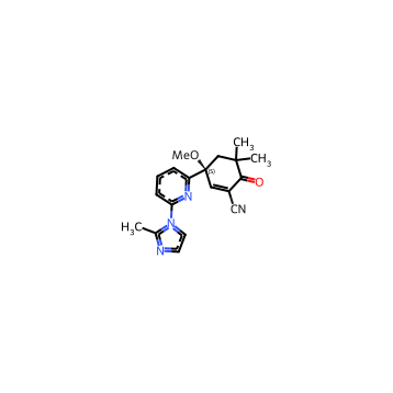 CO[C@]1(c2cccc(-n3ccnc3C)n2)C=C(C#N)C(=O)C(C)(C)C1